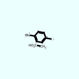 CC(=O)O.CC(C)(C)c1ccc(I)cc1